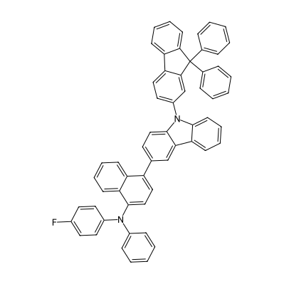 Fc1ccc(N(c2ccccc2)c2ccc(-c3ccc4c(c3)c3ccccc3n4-c3ccc4c(c3)C(c3ccccc3)(c3ccccc3)c3ccccc3-4)c3ccccc23)cc1